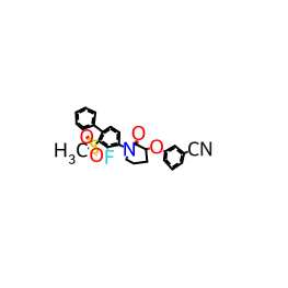 CS(=O)(=O)c1c(-c2ccccc2)ccc(N2CCCC(Oc3cccc(C#N)c3)C2=O)c1F